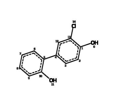 Oc1ccc(-c2cc[c]cc2O)cc1Cl